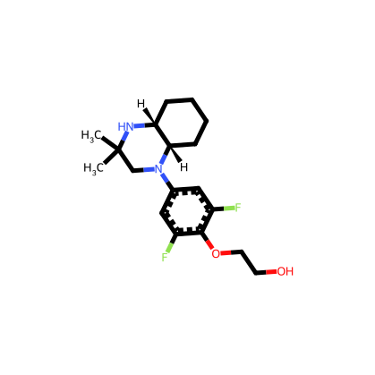 CC1(C)CN(c2cc(F)c(OCCO)c(F)c2)[C@H]2CCCC[C@H]2N1